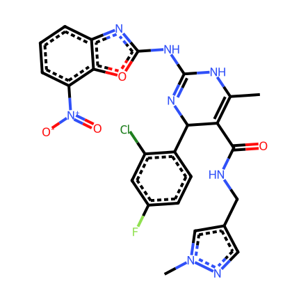 CC1=C(C(=O)NCc2cnn(C)c2)C(c2ccc(F)cc2Cl)N=C(Nc2nc3cccc([N+](=O)[O-])c3o2)N1